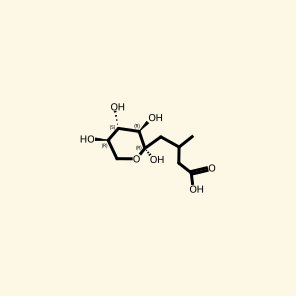 CC(CC(=O)O)C[C@@]1(O)OC[C@@H](O)[C@H](O)[C@H]1O